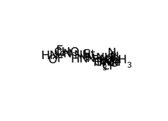 CCc1cc(Nc2ncc(Cl)c(Nc3ccc4nccnc4c3P(C)(C)=O)n2)c(OC)cc1N1CCC(NCCNCCC2CCN(c3cc(F)c(C4(C=O)CCC(=O)NC4)c(F)c3)CC2)CC1